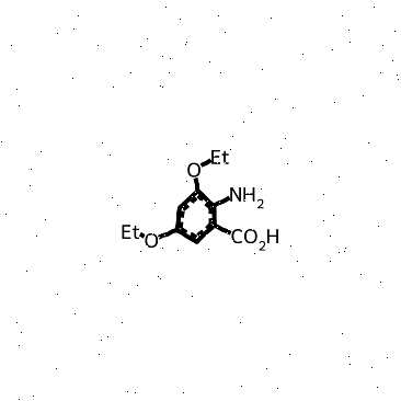 CCOc1cc(OCC)c(N)c(C(=O)O)c1